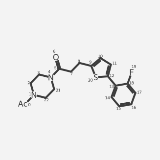 CC(=O)N1CCN(C(=O)CCc2ccc(-c3ccccc3F)s2)CC1